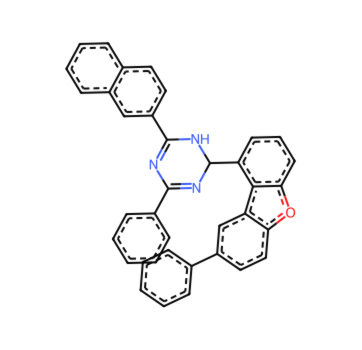 c1ccc(C2=NC(c3cccc4oc5ccc(-c6ccccc6)cc5c34)NC(c3ccc4ccccc4c3)=N2)cc1